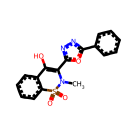 CN1C(c2nnc(-c3ccccc3)o2)=C(O)c2ccccc2S1(=O)=O